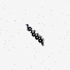 C/C=C/C1CCC(CCc2ccc(-c3ccc(-c4ccc(OCC)c(F)c4F)c(F)c3F)cc2F)CO1